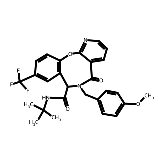 COc1ccc(CN2C(=O)c3cccnc3Oc3ccc(C(F)(F)F)cc3C2C(=O)NC(C)(C)C)cc1